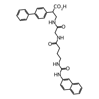 O=C(CCCNC(=O)Nc1ccc2ccccc2c1)NCC(=O)NCC(C(=O)O)c1ccc(-c2ccccc2)cc1